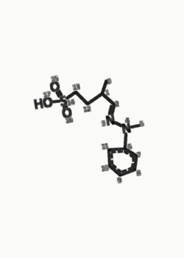 [CH2]C(C=NN(C)c1ccccc1)CCS(=O)(=O)O